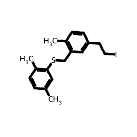 Cc1ccc(C)c(SCc2cc(CCI)ccc2C)c1